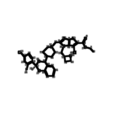 CCOC(=O)c1sc2nc(CN3CCC(C4O[C@](C)(c5ccc(Cl)cc5F)Oc5ccccc54)CC3)n(C[C@@H]3CCO3)c2c1Cl